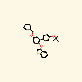 CC(C)(C)Oc1ccc(-c2cc(OCc3ccccc3)ccc2Oc2csc3ccccc23)cc1